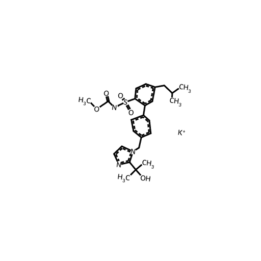 COC(=O)[N-]S(=O)(=O)c1ccc(CC(C)C)cc1-c1ccc(Cn2ccnc2C(C)(C)O)cc1.[K+]